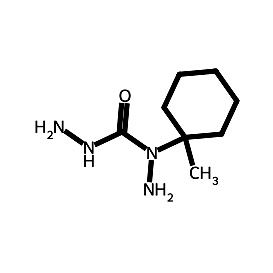 CC1(N(N)C(=O)NN)CCCCC1